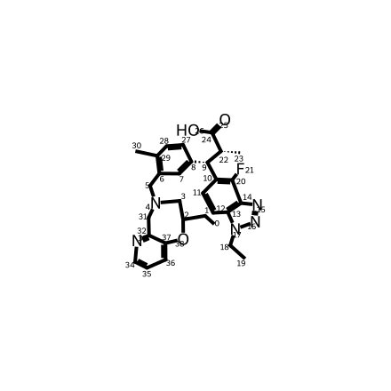 CCC1CN(Cc2cc([C@@H](c3ccc4c(nnn4CC)c3F)[C@@H](C)C(=O)O)ccc2C)Cc2ncccc2O1